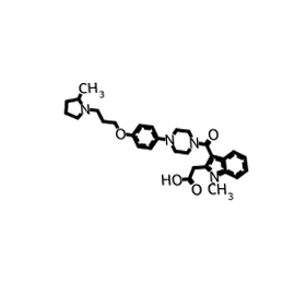 CC1CCCN1CCCOc1ccc(N2CCN(C(=O)c3c(CC(=O)O)n(C)c4ccccc34)CC2)cc1